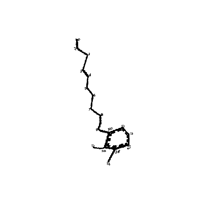 CCCCCCCCCCc1cccc(C)c1C